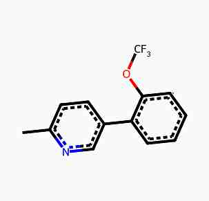 Cc1ccc(-c2ccc[c]c2OC(F)(F)F)cn1